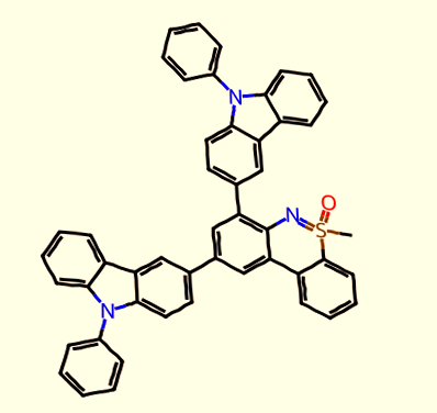 CS1(=O)=Nc2c(-c3ccc4c(c3)c3ccccc3n4-c3ccccc3)cc(-c3ccc4c(c3)c3ccccc3n4-c3ccccc3)cc2-c2ccccc21